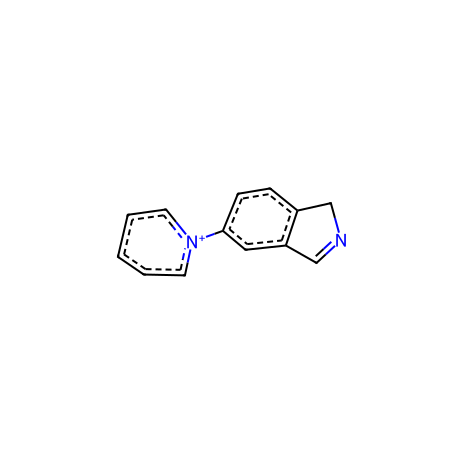 C1=NCc2ccc(-[n+]3ccccc3)cc21